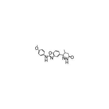 COc1ccc(Nc2nc3cc(C4=NNC(=O)CC4C)ccc3o2)cc1